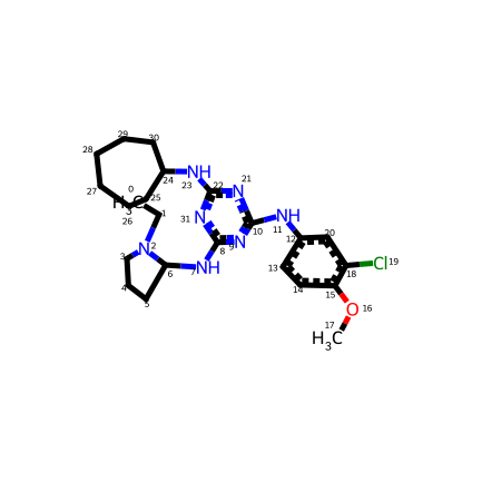 CCN1CCCC1Nc1nc(Nc2ccc(OC)c(Cl)c2)nc(NC2CCCCCC2)n1